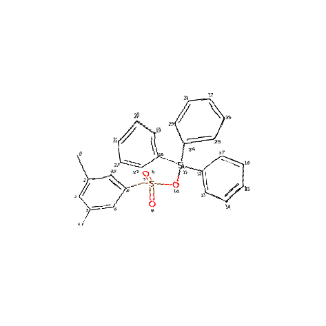 Cc1cc(C)cc(S(=O)(=O)O[Si](c2ccccc2)(c2ccccc2)c2ccccc2)c1